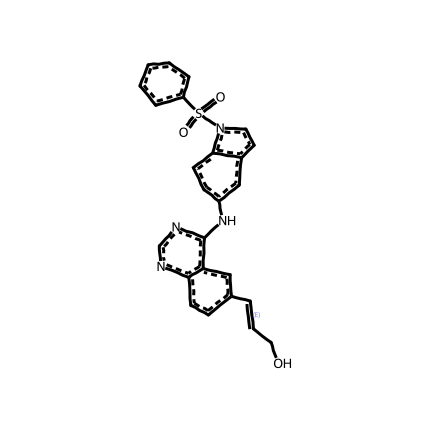 O=S(=O)(c1ccccc1)n1ccc2cc(Nc3ncnc4ccc(/C=C/CO)cc34)ccc21